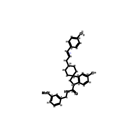 COc1cc(CNC(=O)N2CC3(CCN(C/C=C/c4ccc(C(F)(F)F)cc4)CC3)c3cc(Cl)ccc32)ccn1